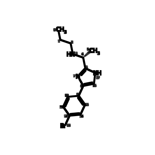 CCCN[C@H](C)c1nc(-c2ccc(Br)cc2)c[nH]1